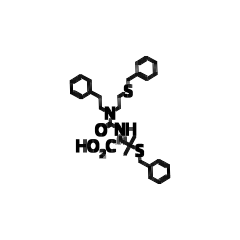 CC(C)(SCc1ccccc1)[C@@H](NC(=O)N(CCSCc1ccccc1)CCc1ccccc1)C(=O)O